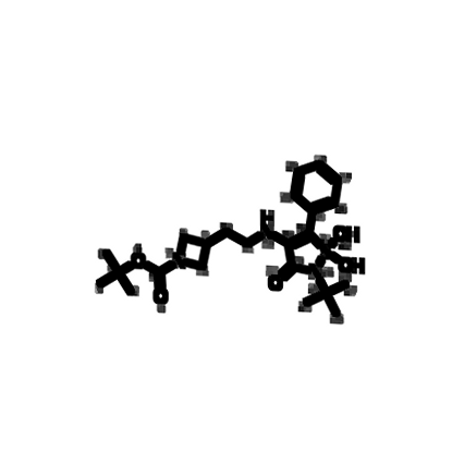 CC(C)(C)OC(=O)N1CC(CCNC2=C(c3ccccc3)S(O)(O)N(C(C)(C)C)C2=O)C1